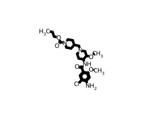 CCCOC(=O)N1CCC(CN2CCC(NC(=O)c3cc(Cl)c(N)cc3OC)C(OC)C2)CC1